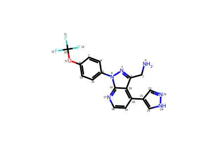 NCc1nn(-c2ccc(OC(F)(F)F)cc2)c2nccc(-c3cn[nH]c3)c12